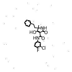 CC1(CCc2ccccc2)NC(=O)C(C(=O)Nc2ccc(F)c(Cl)c2)=C1O